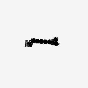 O=P(O)(O)OC(c1cn(-c2ccc(N3CCN(c4ccc(-c5ccc(C(F)(F)[C@]6(O)Cn7nnnc7-c7cc(F)ccc76)nc5)cc4)CC3)cc2)nn1)C(F)(F)F